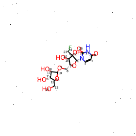 O=c1ccn([C@@H]2O[C@H](CO[C@H]3O[C@@H](CO)[C@H](O)[C@H]3O)[C@@H](O)[C@]2(O)CF)c(=O)[nH]1